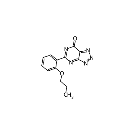 CCCOc1ccccc1C1=NC(=O)C2=NN=NC2=N1